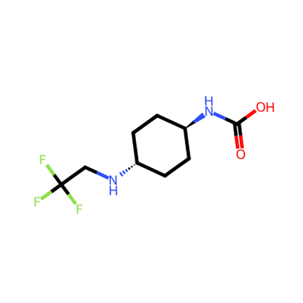 O=C(O)N[C@H]1CC[C@H](NCC(F)(F)F)CC1